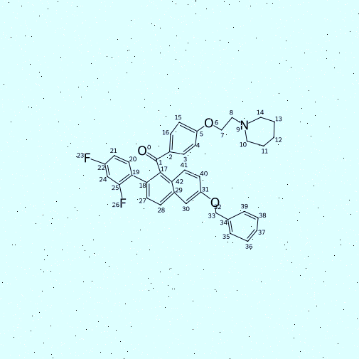 O=C(c1ccc(OCCN2CCCCC2)cc1)c1c(-c2ccc(F)cc2F)ccc2cc(OCc3ccccc3)ccc12